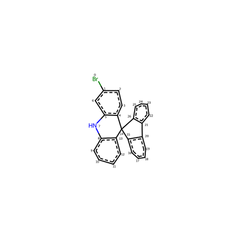 Brc1ccc2c(c1)Nc1ccccc1C21c2ccccc2-c2ccccc21